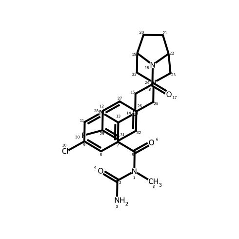 CN(C(N)=O)C(=O)c1cc(Cl)cnc1OCC(=O)N1C2CCC1CN(Cc1ccc(F)cc1)C2